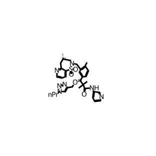 CCCn1cc(CO[C@H](c2ccc(C)c(CN3C[C@@H](C)Cc4ncccc4S3(=O)=O)c2)C(C)(C)C(=O)Nc2cccnc2)nn1